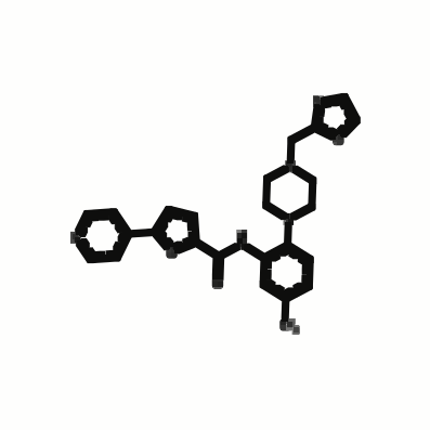 O=C(Nc1cc(C(F)(F)F)ccc1N1CCN(Cc2ncco2)CC1)c1ccc(-c2ccncc2)o1